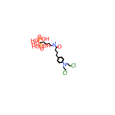 CN(CCCCC(O)(P(=O)(O)O)P(=O)(O)O)C(=O)CCCc1ccc(N(CCCl)CCCl)cc1